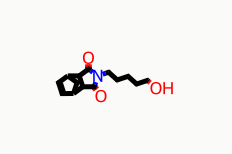 O=C1C2C3C=CC(C3)C2C(=O)N1CCCCCO